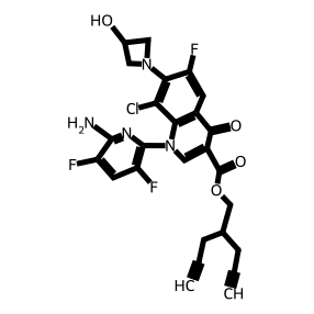 C#CCC(CC#C)COC(=O)c1cn(-c2nc(N)c(F)cc2F)c2c(Cl)c(N3CC(O)C3)c(F)cc2c1=O